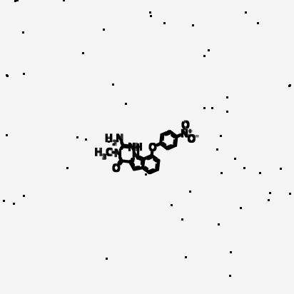 CN(C(=N)N)C(=O)c1cc2cccc(Oc3ccc([N+](=O)[O-])cc3)c2[nH]1